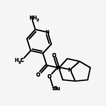 Cc1cc(N)ncc1C(=O)N1CC2CCC(C1)N2C(=O)OC(C)(C)C